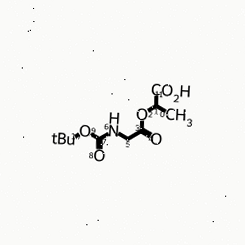 CC(OC(=O)CNC(=O)OC(C)(C)C)C(=O)O